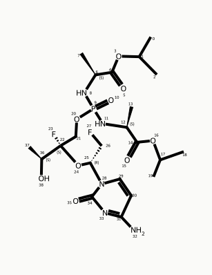 CC(C)OC(=O)[C@H](C)NP(=O)(N[C@@H](C)C(=O)OC(C)C)OC[C@@](F)(O[C@H](CF)n1ccc(N)nc1=O)[C@H](C)O